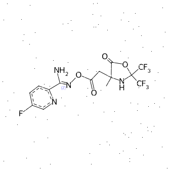 CC1(CC(=O)O/N=C(\N)c2ccc(F)cn2)NC(C(F)(F)F)(C(F)(F)F)OC1=O